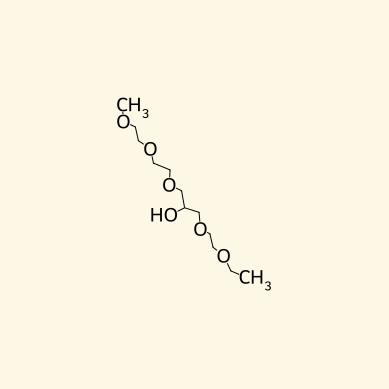 CCOCCOCC(O)COCCOCCOC